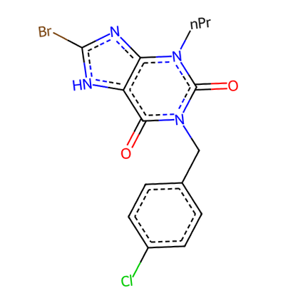 CCCn1c(=O)n(Cc2ccc(Cl)cc2)c(=O)c2[nH]c(Br)nc21